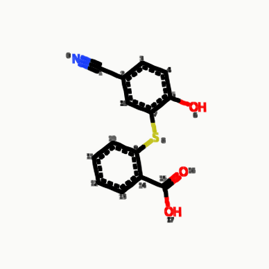 N#Cc1ccc(O)c(Sc2ccccc2C(=O)O)c1